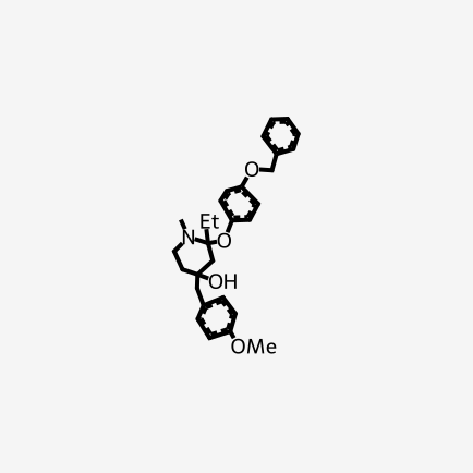 CCC1(Oc2ccc(OCc3ccccc3)cc2)CC(O)(Cc2ccc(OC)cc2)CCN1C